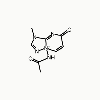 CC(=O)N[N+]12C=CC(=O)N=C1N(C)C=N2